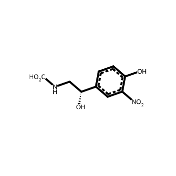 O=C(O)NC[C@@H](O)c1ccc(O)c([N+](=O)[O-])c1